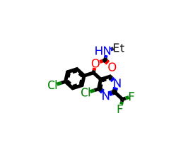 CCNC(=O)OC(c1ccc(Cl)cc1)c1cnc(C(F)F)nc1Cl